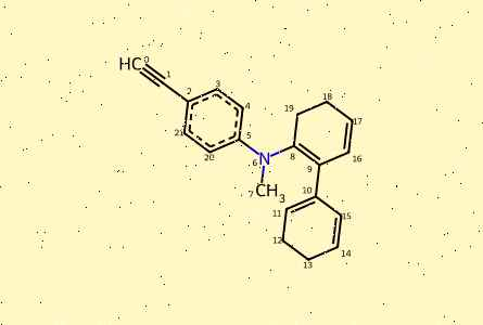 C#Cc1ccc(N(C)C2=C(C3=CCCC=C3)C=CCC2)cc1